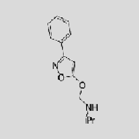 CC(C)NCOc1cc(-c2ccccc2)no1